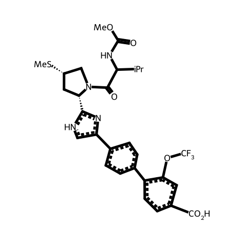 COC(=O)NC(C(=O)N1C[C@@H](SC)C[C@H]1c1nc(-c2ccc(-c3ccc(C(=O)O)cc3OC(F)(F)F)cc2)c[nH]1)C(C)C